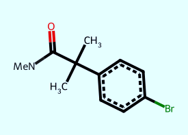 CNC(=O)C(C)(C)c1ccc(Br)cc1